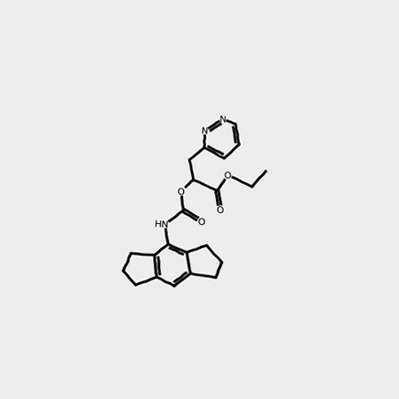 CCOC(=O)C(Cc1cccnn1)OC(=O)Nc1c2c(cc3c1CCC3)CCC2